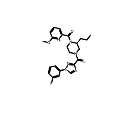 CCC[C@H]1CN(C(=O)c2ncn(-c3cccc(F)c3)n2)CCN1C(=O)c1cccc(OC)n1